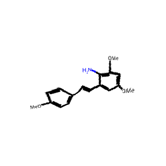 COc1ccc(C=Cc2cc(OC)cc(OC)c2N)cc1